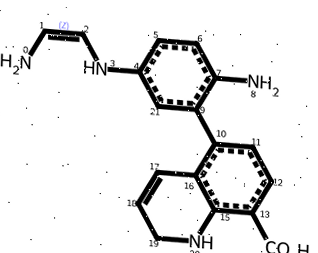 N/C=C\Nc1ccc(N)c(-c2ccc(C(=O)O)c3c2C=CCN3)c1